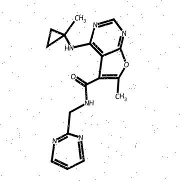 Cc1oc2ncnc(NC3(C)CC3)c2c1C(=O)NCc1ncccn1